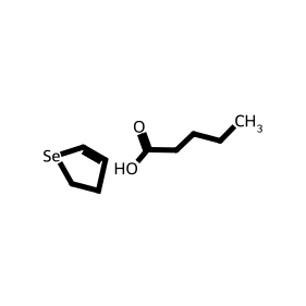 C1=C[Se]CC1.CCCCC(=O)O